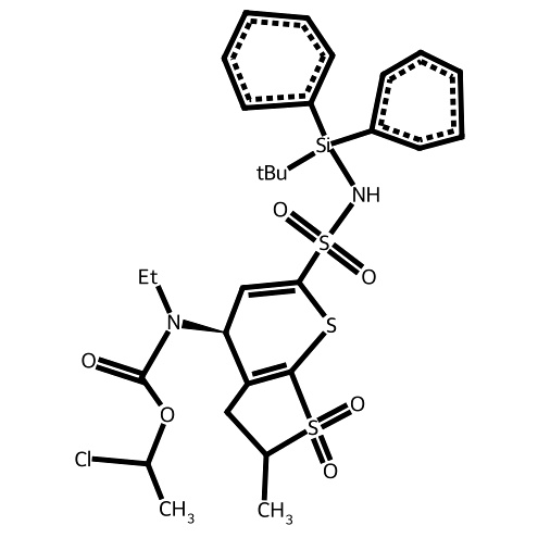 CCN(C(=O)OC(C)Cl)[C@H]1C=C(S(=O)(=O)N[Si](c2ccccc2)(c2ccccc2)C(C)(C)C)SC2=C1CC(C)S2(=O)=O